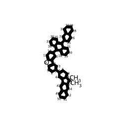 CC1(C)c2ccc(-c3ccc4oc5ccc(-c6c7ccccc7c(-c7ccc8ccccc8c7)c7ccccc67)cc5c4c3)cc2-c2cc3ccccc3cc21